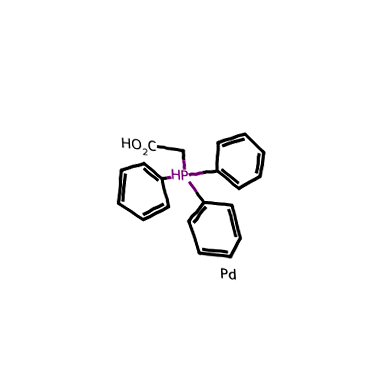 O=C(O)C[PH](c1ccccc1)(c1ccccc1)c1ccccc1.[Pd]